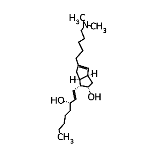 CCCCC[C@H](O)/C=C/[C@@H]1[C@H]2CC(CCCCCN(C)C)=C[C@H]2C[C@@H]1O